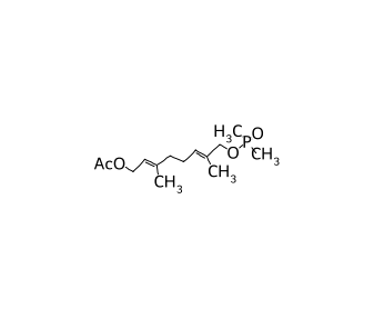 CC(=O)OC/C=C(\C)CC/C=C(\C)COP(C)(C)=O